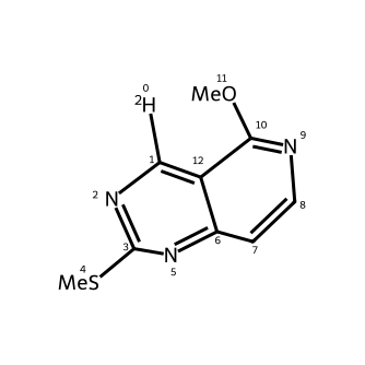 [2H]c1nc(SC)nc2ccnc(OC)c12